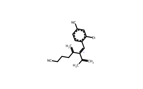 C=C(C)/C(=C/c1ccc(C#N)cc1CC)C(=C)CCCC#N